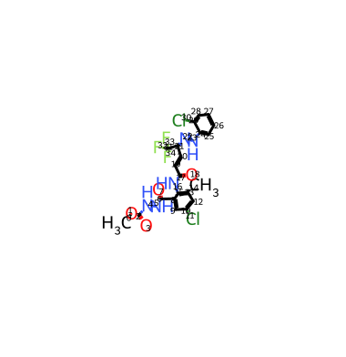 COC(=O)NNC(=O)c1cc(Cl)cc(C)c1NC(=O)/C=C/C(=N\Nc1ccccc1Cl)C(F)(F)F